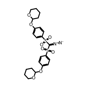 [N-]=[N+]=C(S(=O)(=O)c1ccc(OC2CCCCO2)cc1)S(=O)(=O)c1ccc(OC2CCCCO2)cc1